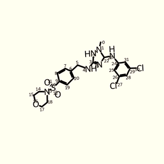 CN1NC(NCc2ccc(S(=O)(=O)N3CCOCC3)cc2)=NC1Nc1cc(Cl)cc(Cl)c1